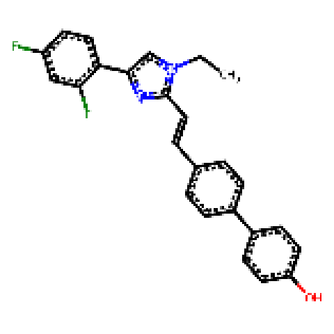 CCn1cc(-c2ccc(F)cc2F)nc1C=Cc1ccc(-c2ccc(O)cc2)cc1